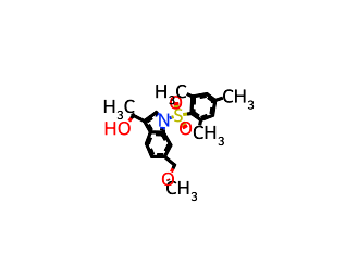 COCc1ccc2c(C(C)O)cn(S(=O)(=O)c3c(C)cc(C)cc3C)c2c1